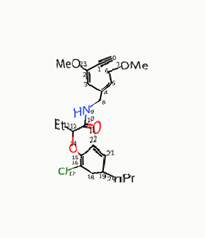 C#C/C(=C\C(=C/COC)CNC(=O)C(CC)OC1=C(Cl)CC(CCC)C=C1)OC